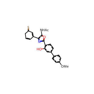 COc1ccc(-c2ccc(-c3nc(C4=CC(=S)CC=C4)c(NC(C)=O)o3)c(O)c2)cc1